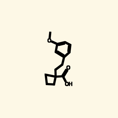 COc1cccc(CCC2(C(=O)O)CCC2)c1